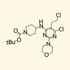 CC(C)(C)OC(=O)N1CCC(Nc2nc(N3CCOCC3)nc(Cl)c2CCCl)CC1